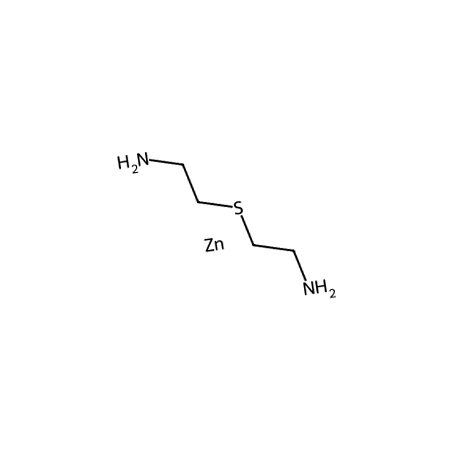 NCCSCCN.[Zn]